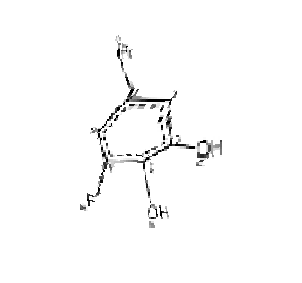 CC(C)c1cc(O)c(O)c(F)c1